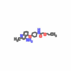 CCCOCC(=O)N[C@H]1CC[C@H](Oc2cccc3nc(C)cc(N)c23)CC1